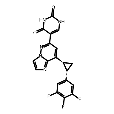 O=c1[nH]cc(-c2cc([C@H]3C[C@@H]3c3cc(F)c(F)c(F)c3)c3nccn3n2)c(=O)[nH]1